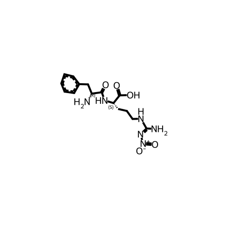 NC(=N[N+](=O)[O-])NCCC[C@H](NC(=O)[C@H](N)Cc1ccccc1)C(=O)O